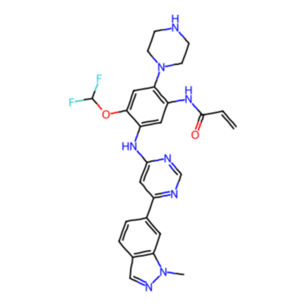 C=CC(=O)Nc1cc(Nc2cc(-c3ccc4cnn(C)c4c3)ncn2)c(OC(F)F)cc1N1CCNCC1